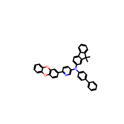 CC1(C)c2ccccc2-c2ccc(N(c3ccc(-c4ccccc4)cc3)c3ccc(-c4ccc5c(c4)Oc4ccccc4O5)nc3)cc21